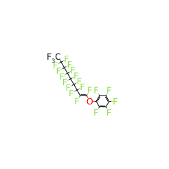 FC(Oc1c(F)c(F)c(F)c(F)c1F)=C(F)C(F)(F)C(F)(F)C(F)(F)C(F)(F)C(F)(F)C(F)(F)C(F)(F)F